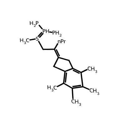 CCCC(CS(C)=[PH](P)P)=C1Cc2c(C)c(C)c(C)c(C)c2C1